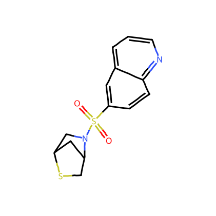 O=S(=O)(c1ccc2ncccc2c1)N1CC2CC1CS2